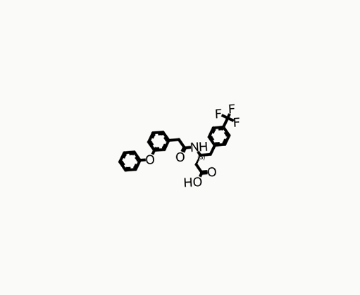 O=C(O)C[C@H](Cc1ccc(C(F)(F)F)cc1)NC(=O)Cc1cccc(Oc2ccccc2)c1